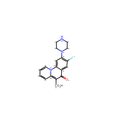 O=C(O)c1c(=O)c2cc(F)c(N3CCNCC3)cc2n2ccccc12